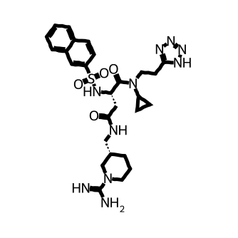 N=C(N)N1CCC[C@@H](CNC(=O)C[C@H](NS(=O)(=O)c2ccc3ccccc3c2)C(=O)N(CCc2nnn[nH]2)C2CC2)C1